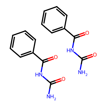 NC(=O)NC(=O)c1ccccc1.NC(=O)NC(=O)c1ccccc1